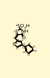 O=C1NC(S(=O)(=O)O)SC1=Cc1cc(-c2ccccc2)cs1